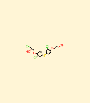 OCCCOc1ccc(Sc2ccc(OCC(O)CCl)c(Cl)c2)cc1Cl